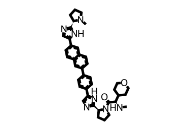 CN[C@H](C(=O)N1CCC[C@H]1c1ncc(-c2ccc(-c3ccc4cc(-c5cnc([C@@H]6CCCN6C)[nH]5)ccc4c3)cc2)[nH]1)C1CCOCC1